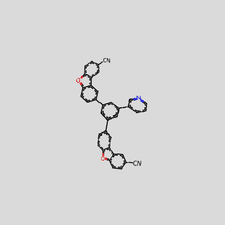 N#Cc1ccc2oc3ccc(-c4cc(-c5cccnc5)cc(-c5ccc6oc7ccc(C#N)cc7c6c5)c4)cc3c2c1